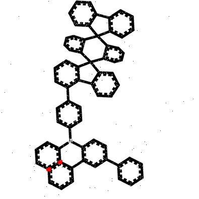 c1ccc(-c2ccc(N(c3ccccc3)c3ccc(-c4cccc5c4-c4ccccc4C54c5ccccc5C5(c6ccccc6-c6ccccc65)c5ccccc54)cc3)c(-c3ccccc3)c2)cc1